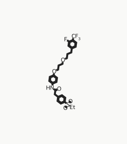 CCS(=O)(=O)c1ccc(CC(=O)Nc2ccc(OCCCOCCCc3ccc(C(F)(F)F)c(F)c3)cc2)cc1